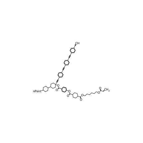 C#Cc1ccc(C#Cc2ccc(C#Cc3ccc(C#CC4(OC(=O)c5ccc(OC(=O)C6CCC(C(=O)OCCCCCCOC(=O)C=C)CC6)cc5)CCC(C5CCC(CCCCC)CC5)CC4)cc3)cc2)cc1